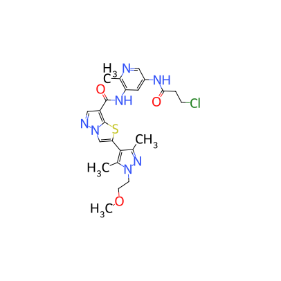 COCCn1nc(C)c(-c2cn3ncc(C(=O)Nc4cc(NC(=O)CCCl)cnc4C)c3s2)c1C